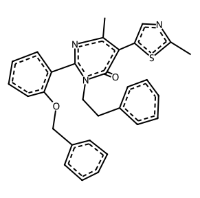 Cc1ncc(-c2c(C)nc(-c3ccccc3OCc3ccccc3)n(CCc3ccccc3)c2=O)s1